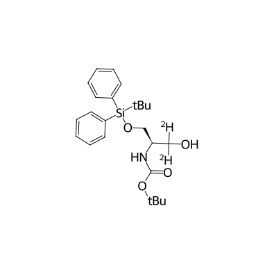 [2H]C([2H])(O)[C@H](CO[Si](c1ccccc1)(c1ccccc1)C(C)(C)C)NC(=O)OC(C)(C)C